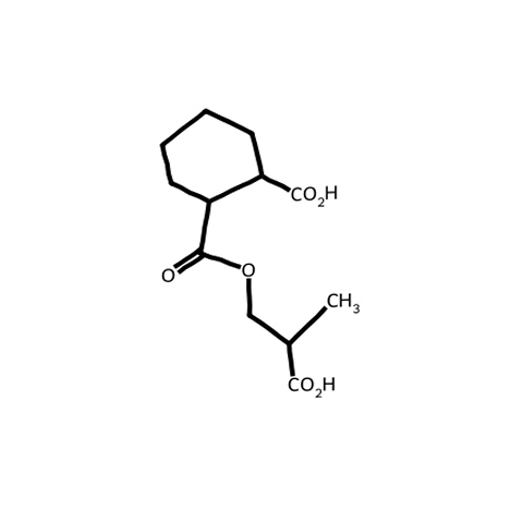 CC(COC(=O)C1CCCCC1C(=O)O)C(=O)O